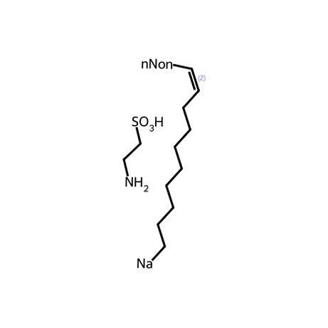 CCCCCCCCC/C=C\CCCCCCC[CH2][Na].NCCS(=O)(=O)O